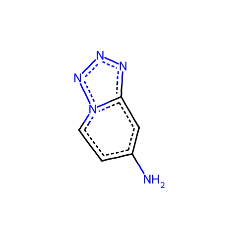 Nc1ccn2nnnc2c1